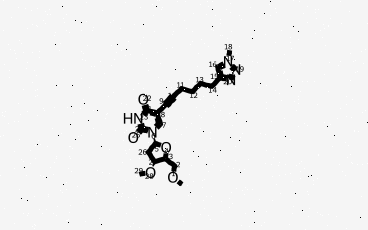 COCC1O[C@@H](n2cc(C#CCCCCc3cn(C)nn3)c(=O)[nH]c2=O)C[C@H]1OC